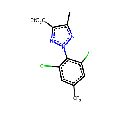 CCOC(=O)c1nn(-c2c(Cl)cc(C(F)(F)F)cc2Cl)nc1C